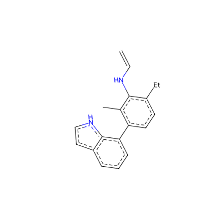 C=CNc1c(CC)ccc(-c2cccc3cc[nH]c23)c1C